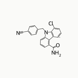 N#Cc1ccc(Cn2c3cccc(C(N)=O)c3c3[c]ccc(Cl)c32)cc1